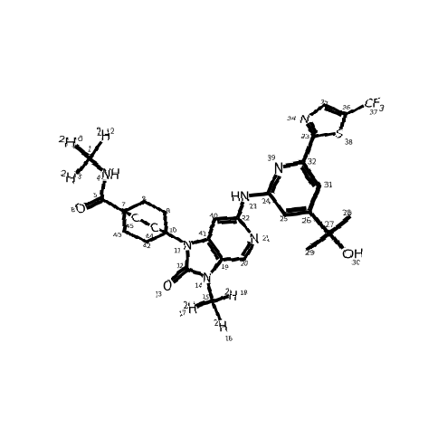 [2H]C([2H])([2H])NC(=O)C12CCC(n3c(=O)n(C([2H])([2H])[2H])c4cnc(Nc5cc(C(C)(C)O)cc(-c6ncc(C(F)(F)F)s6)n5)cc43)(CC1)CC2